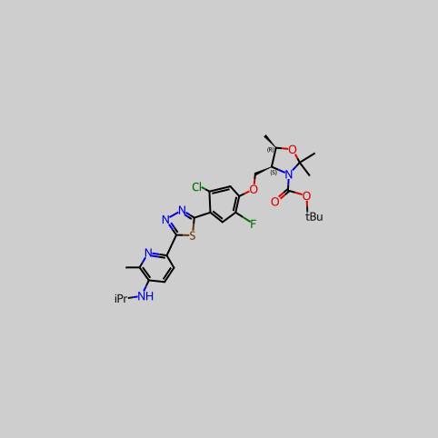 Cc1nc(-c2nnc(-c3cc(F)c(OC[C@H]4[C@@H](C)OC(C)(C)N4C(=O)OC(C)(C)C)cc3Cl)s2)ccc1NC(C)C